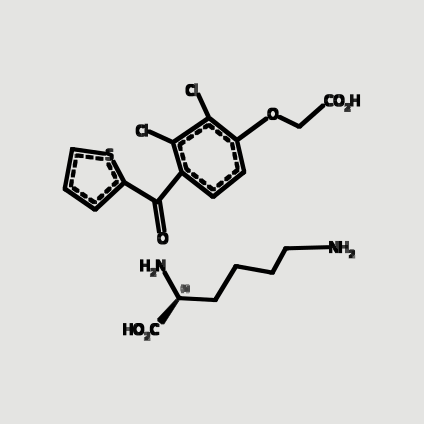 NCCCC[C@H](N)C(=O)O.O=C(O)COc1ccc(C(=O)c2cccs2)c(Cl)c1Cl